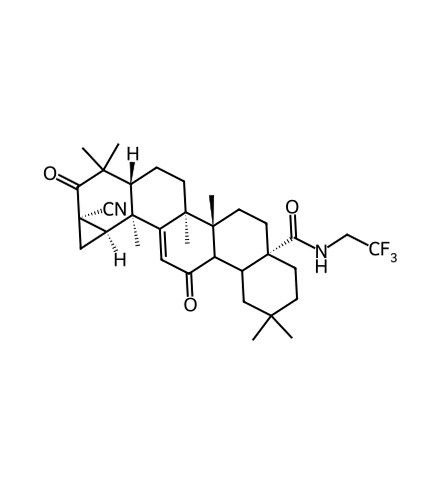 CC1(C)CC[C@]2(C(=O)NCC(F)(F)F)CC[C@]3(C)C(C(=O)C=C4[C@@]5(C)[C@H]6C[C@@]6(C#N)C(=O)C(C)(C)[C@@H]5CC[C@]43C)C2C1